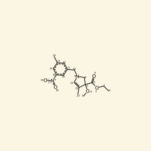 CCOC(=O)C1(OC)CN(Cc2cc(C)cc([N+](=O)[O-])c2)C=C1C